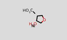 C1CCOC1.CC(=O)O.O.[Ni]